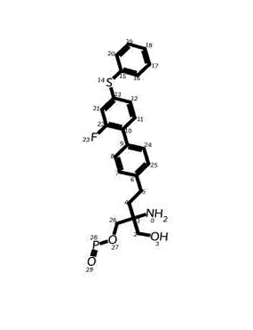 NC(CO)(CCc1ccc(-c2ccc(Sc3ccccc3)cc2F)cc1)COP=O